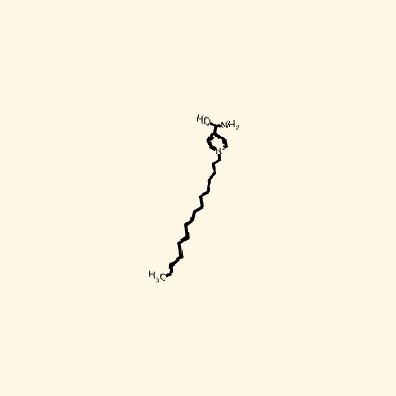 CCCCCCCCCCCCCCCC[n+]1ccc(C(N)O)cc1